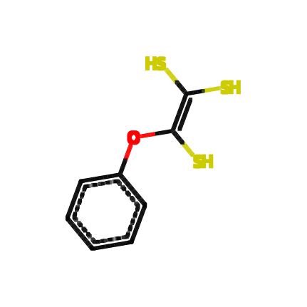 SC(S)=C(S)Oc1ccccc1